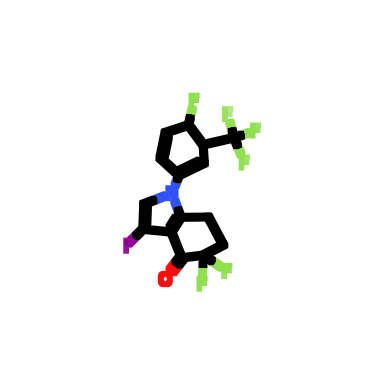 O=C1c2c(I)cn(C3=CC(C(F)(F)F)C(F)C=C3)c2CCC1(F)F